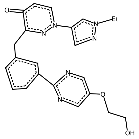 CCn1cc(-n2ccc(=O)c(Cc3cccc(-c4ncc(OCCO)cn4)c3)n2)cn1